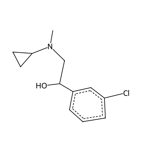 CN(CC(O)c1cccc(Cl)c1)C1CC1